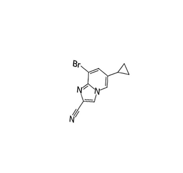 N#Cc1cn2cc(C3CC3)cc(Br)c2n1